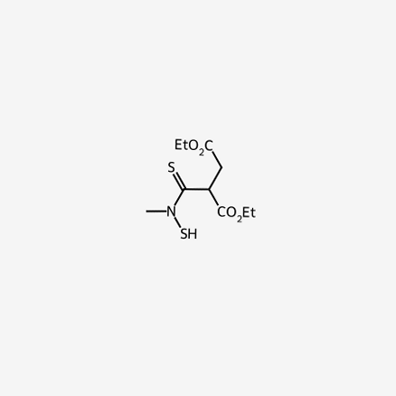 CCOC(=O)CC(C(=O)OCC)C(=S)N(C)S